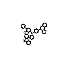 CC1(C)c2ccccc2-c2cc3c(cc21)oc1c(-c2ccccc2)ccc(N(c2ccccc2)c2ccc(-c4cc5ccccc5c5ccccc45)cc2)c13